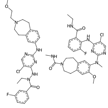 CCN(Nc1nc(Nc2ccc3c(c2)CCN(CCOC)CC3)ncc1Cl)C(=O)c1cccc(F)c1.CCNC(=O)c1cccc(F)c1Nc1nc(N(C)c2cc3c(cc2OC)CCN(C(=O)NC)CC3)ncc1Cl